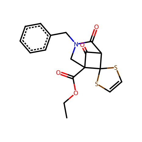 CCOC(=O)C12CN(Cc3ccccc3)C(=O)C(C1=O)C21SC=CS1